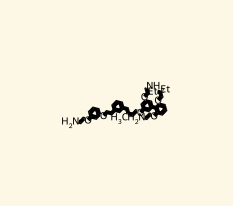 CCC(CC)COc1cccc(OCCN)c1-c1cc(OCCN)cc(OCCC(C)Cc2cccc(CCOc3cccc(OCCN)c3)c2)c1